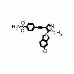 Cn1ncc(C#Cc2ccc(S(N)(=O)=O)cc2)c1N1Cc2ccc(Cl)cc2C1